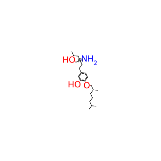 CCC[C@@](N)(CO)CCc1ccc(OCC(C)CCCC(C)C)c(O)c1